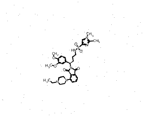 CCN1CCN(c2cccc3c2C(=O)N([C@H](CCCNS(=O)(=O)c2cn(C)c(C)n2)c2ccc(OC)c(OC)c2)C3=O)CC1